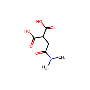 CN(C)C(=O)CC(C(=O)O)C(=O)O